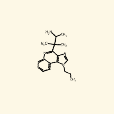 CCCn1cnc2c(C(C)(C)C(C)N)nc3ccccc3c21